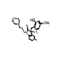 COc1ccc(CC2(C)C(=O)N(CCCN3CCOCC3)c3ccc(Cl)cc32)c(O)c1